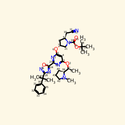 C[C@H](Oc1cc(O[C@@H]2C[C@@H](CC#N)N(C(=O)OC(C)(C)C)C2)nc(-c2nc(C(C)(C)c3ccccc3)no2)n1)[C@@H]1CCCN1C